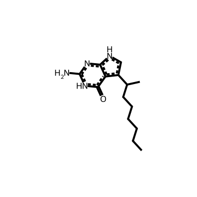 CCCCCCC(C)c1c[nH]c2nc(N)[nH]c(=O)c12